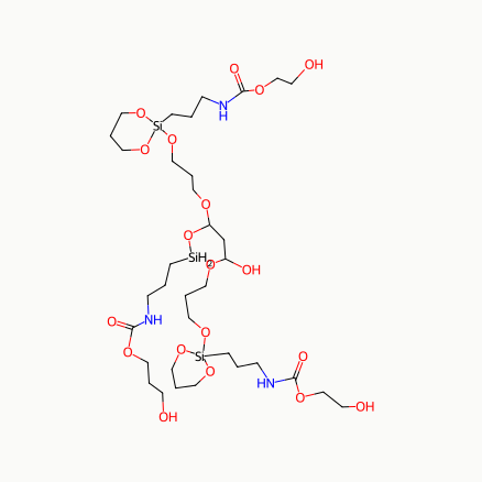 O=C(NCCC[Si]1(OCCCOC(O)CC(OCCCO[Si]2(CCCNC(=O)OCCO)OCCCO2)O[SiH2]CCCNC(=O)OCCCO)OCCCO1)OCCO